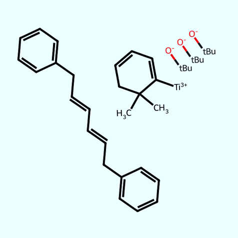 C(C=CCc1ccccc1)=CCc1ccccc1.CC(C)(C)[O-].CC(C)(C)[O-].CC(C)(C)[O-].CC1(C)CC=CC=[C]1[Ti+3]